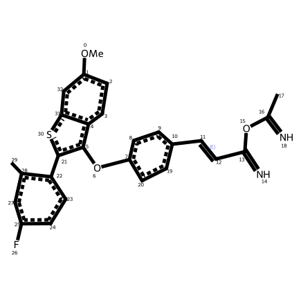 COc1ccc2c(Oc3ccc(/C=C/C(=N)OC(C)=N)cc3)c(-c3ccc(F)cc3C)sc2c1